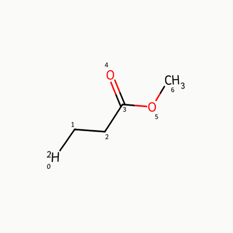 [2H]CCC(=O)OC